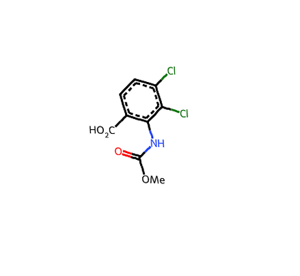 COC(=O)Nc1c(C(=O)O)ccc(Cl)c1Cl